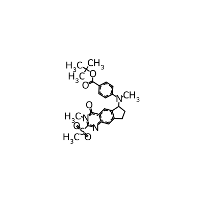 CN(c1ccc(C(=O)OC(C)(C)C)cc1)C1CCc2cc3nc(S(C)(=O)=O)n(C)c(=O)c3cc21